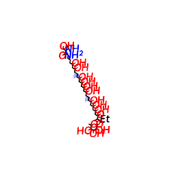 CCC(OC1OC(C)C(O)C(O)C1O)C(C)C(=O)CC(O)CC(O)CC(O)/C=C/CC(O)CC(O)CC(O)CC(O)/C=C/CC(O)CC(O)CCCNC(=O)C(N)CO